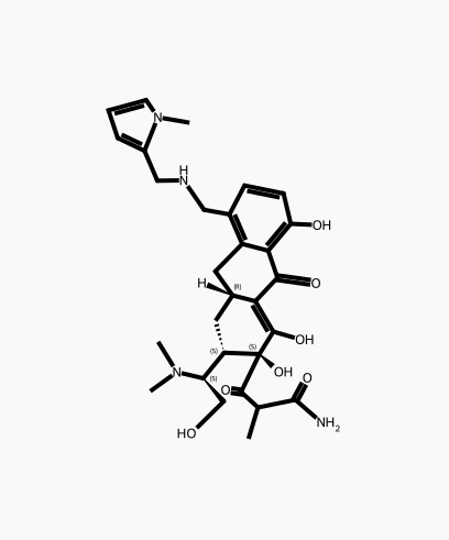 CC(C(N)=O)C(=O)[C@@]1(O)C(O)=C2C(=O)c3c(O)ccc(CNCc4cccn4C)c3C[C@H]2C[C@H]1[C@@H](CO)N(C)C